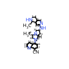 CC1NCCc2cnc(N[C@@H]3C[C@H]4CN(c5ccc(C#N)c6ncccc56)C[C@@H](C)N4C3)cc21